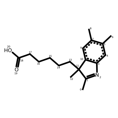 CC1=Nc2cc(C)c(C)cc2C1(C)CCCCCC(=O)O